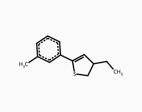 CCC1C=C(c2cccc(C)c2)SC1